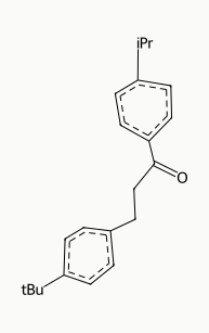 CC(C)c1ccc(C(=O)CCc2ccc(C(C)(C)C)cc2)cc1